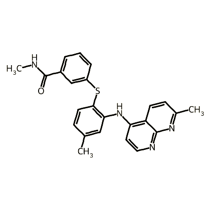 CNC(=O)c1cccc(Sc2ccc(C)cc2Nc2ccnc3nc(C)ccc23)c1